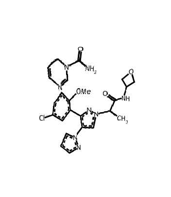 COc1ccc(Cl)cc1-c1nn(C(C)C(=O)NC2COC2)cc1-n1cccn1.NC(=O)N1C=NC=CC1